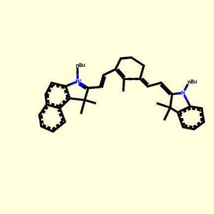 CCCCN1/C(=C/C=C2\CCCC(/C=C/C3=[N+](CCCC)c4ccc5ccccc5c4C3(C)C)=C2C)C(C)(C)c2ccccc21